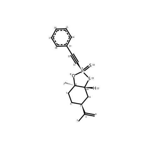 C=C(C)[C@H]1CC[C@@]2(C)O[P@@](=S)(C#Cc3ccccc3)S[C@@H]2C1